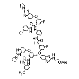 COCCNc1cnc2ccc(Oc3cc(F)cc(NC(=O)Nc4cccc(F)c4)c3)cc2n1.O=C(Nc1cc(F)cc(Oc2ccc3ncc(N4CCCC4)nc3c2)c1)Nc1cccc(C(F)(F)F)c1.O=C(Nc1cccc(Cl)c1)Nc1cc(F)cc(Oc2ccc3ncc(N4CCCC4)nc3c2)c1